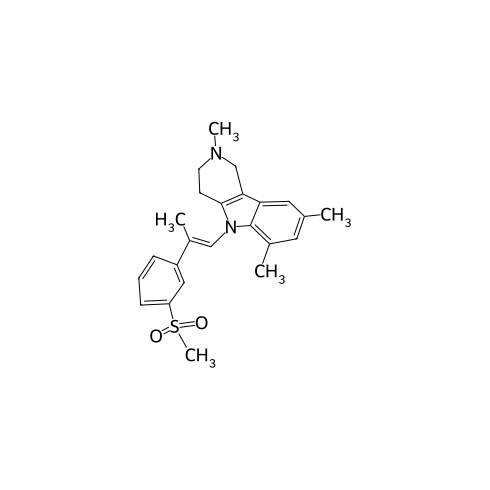 C/C(=C\n1c2c(c3cc(C)cc(C)c31)CN(C)CC2)c1cccc(S(C)(=O)=O)c1